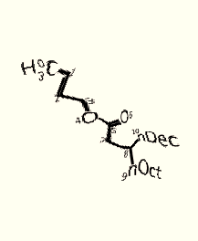 C/C=C/COC(=O)CC(CCCCCCCC)CCCCCCCCCC